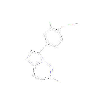 COc1ccc(-c2cnc3ccc(N)nn23)cc1F